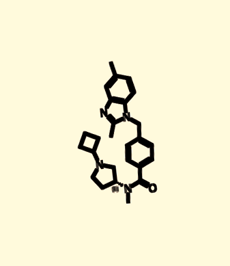 Cc1ccc2c(c1)nc(C)n2Cc1ccc(C(=O)N(C)[C@@H]2CCN(C3CCC3)C2)cc1